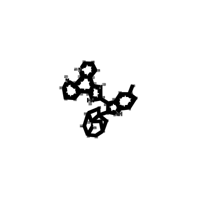 Cc1ccc2[nH]c(C34CC5CC6CC(C3)[C@]4(C6)C5)c(-c3nc4c5cccnc5c5ncccc5c4[nH]3)c2c1